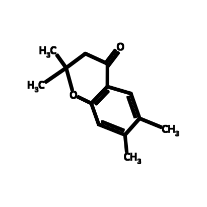 Cc1cc2c(cc1C)C(=O)CC(C)(C)O2